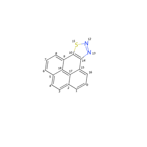 c1cc2ccc3cccc4c5snnc5c(c1)c2c34